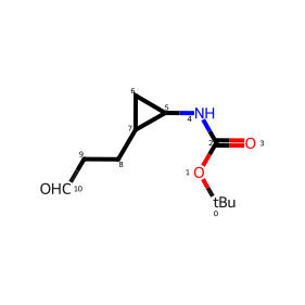 CC(C)(C)OC(=O)NC1CC1CCC=O